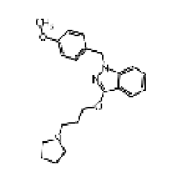 COc1ccc(Cn2nc(OCCCN3CCCC3)c3ccccc32)cc1